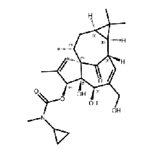 CC1=C[C@]23C(=O)[C@@H](C=C(CO)[C@@H](O)[C@]2(O)[C@H]1OC(=O)N(C)C1CC1)[C@H]1[C@@H](C[C@H]3C)C1(C)C